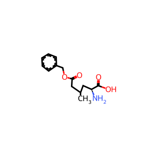 CC(CC(=O)OCc1ccccc1)C[C@H](N)C(=O)O